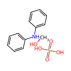 CO.O=S(=O)(O)O.c1ccc(Nc2ccccc2)cc1